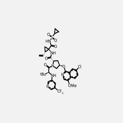 C=C[C@@H]1C[C@]1(NC(=O)[C@@H]1C[C@@H](Oc2ncc(OC)c3ccc(Cl)cc23)CN1C(=O)[C@@H](Nc1cncc(C(F)(F)F)c1)C(C)(C)C)C(=O)NS(=O)(=O)C1CC1